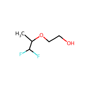 CC(OCCO)C(F)F